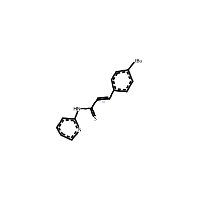 CC(C)(C)c1ccc(/C=C/C(=S)Nc2ccccn2)cc1